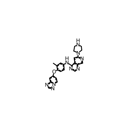 Cc1cc(Nc2ncnc3cnc(N4CCNCC4)cc23)ccc1Oc1ccn2ncnc2c1